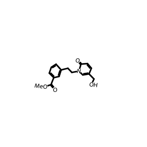 COC(=O)c1cccc(CCn2cc(CO)ccc2=O)c1